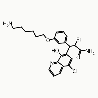 CCC(C(N)=O)C(c1cccc(OCCCCCCN)c1)c1cc(Cl)c2cccnc2c1O